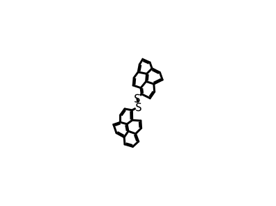 c1cc2ccc3ccc(SSc4ccc5ccc6cccc7ccc4c5c67)c4ccc(c1)c2c34